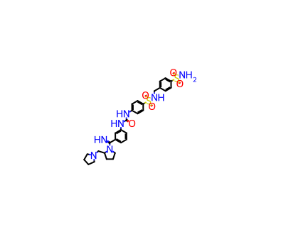 N=C(c1cccc(NC(=O)Nc2ccc(S(=O)(=O)NCc3ccc(S(N)(=O)=O)cc3)cc2)c1)N1CCCC1CN1CCCC1